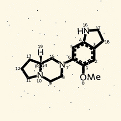 COc1cc2c(cc1N1CCN3CCC[C@@H]3C1)NCC2